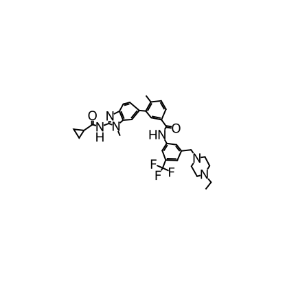 CCN1CCN(Cc2cc(NC(=O)c3ccc(C)c(-c4ccc5nc(NC(=O)C6CC6)n(C)c5c4)c3)cc(C(F)(F)F)c2)CC1